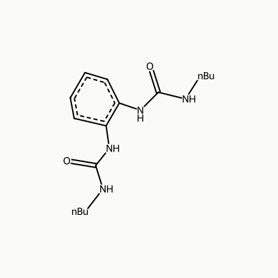 CCCCNC(=O)Nc1ccccc1NC(=O)NCCCC